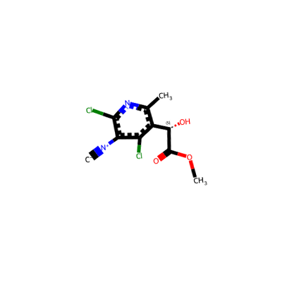 [C-]#[N+]c1c(Cl)nc(C)c([C@H](O)C(=O)OC)c1Cl